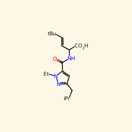 CCn1nc(CC(C)C)cc1C(=O)NC(C=CC(C)(C)C)C(=O)O